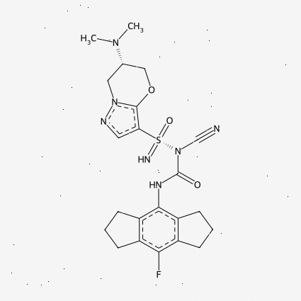 CN(C)[C@@H]1COc2c([S@](=N)(=O)N(C#N)C(=O)Nc3c4c(c(F)c5c3CCC5)CCC4)cnn2C1